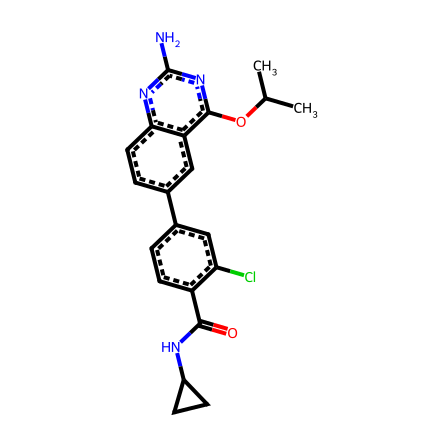 CC(C)Oc1nc(N)nc2ccc(-c3ccc(C(=O)NC4CC4)c(Cl)c3)cc12